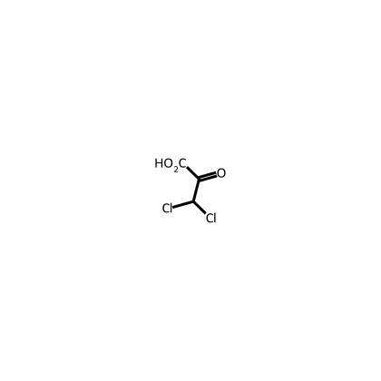 O=C(O)C(=O)C(Cl)Cl